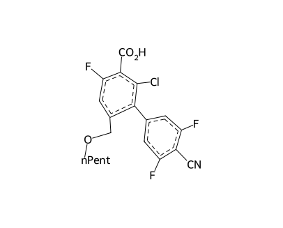 CCCCCOCc1cc(F)c(C(=O)O)c(Cl)c1-c1cc(F)c(C#N)c(F)c1